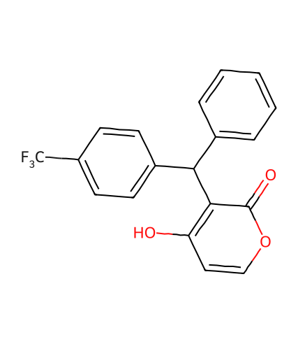 O=c1occc(O)c1C(c1ccccc1)c1ccc(C(F)(F)F)cc1